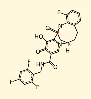 O=C(NCc1c(F)cc(F)cc1F)c1cn2c(c(O)c1=O)C(=O)N1CC[C@H]2CCc2cccc(F)c21